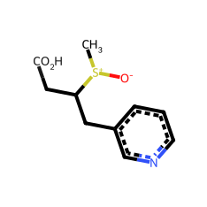 C[S+]([O-])C(CC(=O)O)Cc1cccnc1